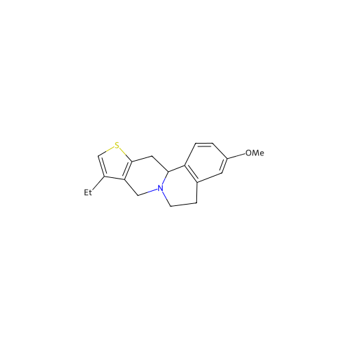 CCc1csc2c1CN1CCc3cc(OC)ccc3C1C2